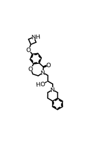 O=C1c2ccc(OC3CNC3)cc2OCCN1C[C@H](O)CN1CCc2ccccc2C1